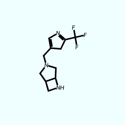 FC(F)(F)C1=NC=C(CN2CC3CNC3C2)C1